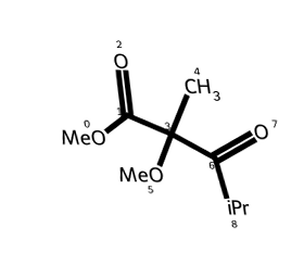 COC(=O)C(C)(OC)C(=O)C(C)C